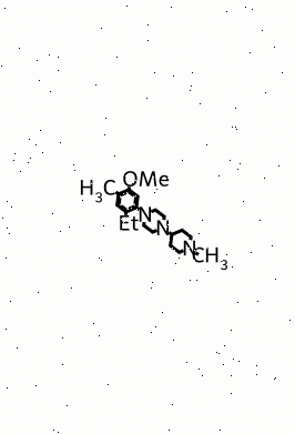 CCc1cc(C)c(OC)cc1N1CCN(C2CCN(C)CC2)CC1